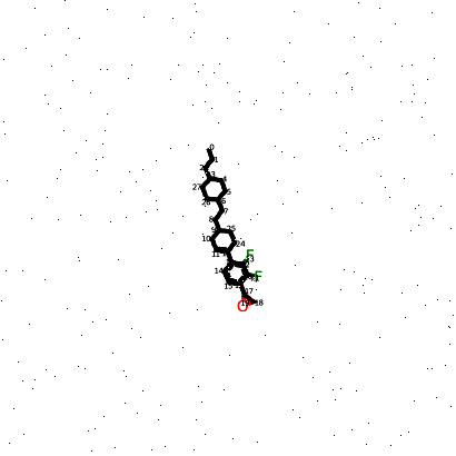 CCCC1CCC(CCC2CC=C(c3ccc(C4CO4)c(F)c3F)CC2)CC1